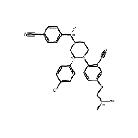 C[C@H](O)COc1ccc(N2CCN([C@@H](C)c3ccc(C#N)cc3)C[C@H]2c2ccc(Cl)cc2)c(C#N)c1